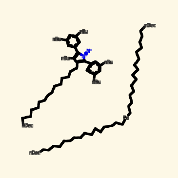 CCCCCCCCCCCCCCCCCCCCCCCCC1=C(c2cc(CCCC)cc(CCCC)c2)[N+](=[N-])C(c2cc(CCCC)cc(CCCC)c2)=C1CCCC.CCCCCCCCCCCCCCCCCCCCCCCCC[CH2][Pd][CH2]CCCCCCCCCCCCCCCCCCCCCCCCC